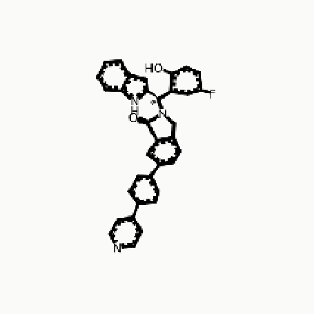 O=C1c2cc(-c3ccc(-c4ccncc4)cc3)ccc2CN1[C@@H](c1cc2ccccc2[nH]1)c1cc(F)ccc1O